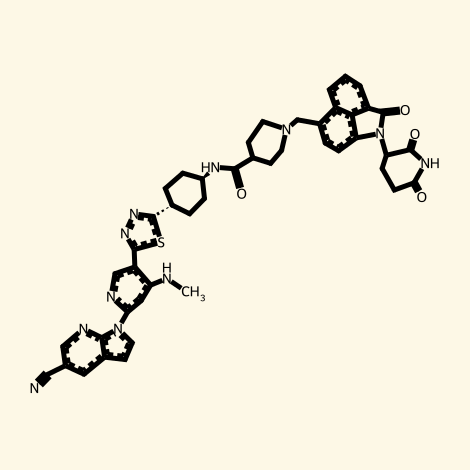 CNc1cc(-n2ccc3cc(C#N)cnc32)ncc1-c1nnc([C@H]2CC[C@H](NC(=O)C3CCN(Cc4ccc5c6c(cccc46)C(=O)N5C4CCC(=O)NC4=O)CC3)CC2)s1